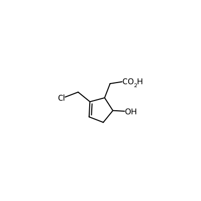 O=C(O)CC1C(CCl)=CCC1O